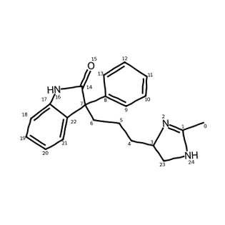 CC1=NC(CCCC2(c3ccccc3)C(=O)Nc3ccccc32)CN1